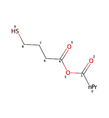 CCCC(=O)OC(=O)CCCS